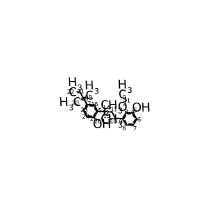 CCOc1c(O)cccc1CCC(C)(C)c1cc(C(C)(C)CC)ccc1O